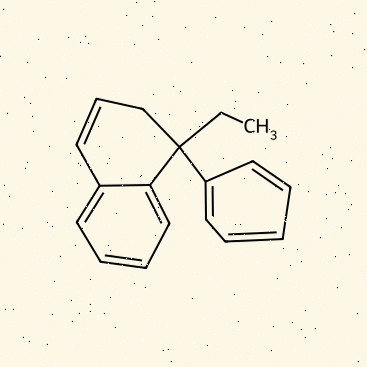 CCC1(c2ccccc2)CC=Cc2ccccc21